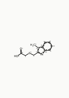 Cn1c(CSCC(=O)O)nc2ccccc21